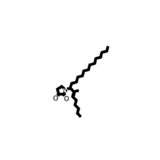 CCCCCC=C(C)C(CCCCCCCCCCCCC)N1CCC(=O)C1=O